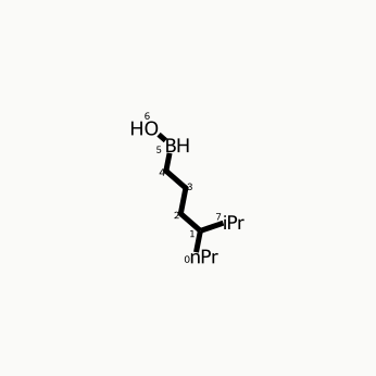 CCCC(CCCBO)C(C)C